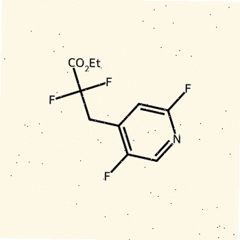 CCOC(=O)C(F)(F)Cc1cc(F)ncc1F